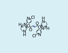 O=C(/C=C/C(=O)O[C@]12CNCC[C@H](CN1c1ccc(Cl)nc1)C2)O[C@]12CNCC[C@H](CN1c1ccc(Cl)nc1)C2